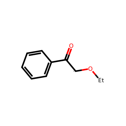 CCO[CH]C(=O)c1ccccc1